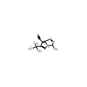 CC1N=Nc2c(C#N)c(C(C)(C)C)cn21